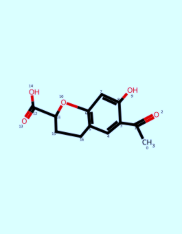 CC(=O)c1cc2c(cc1O)OC(C(=O)O)CC2